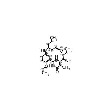 CCCC(=N)C1=C(C)C(=O)NC(c2cc(BC(CC=C3CC3)CCC)ccc2OCC)N1